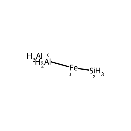 [AlH2][Fe][SiH3].[AlH3]